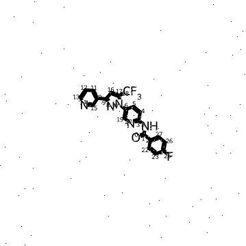 O=C(Nc1ccc(-n2nc(-c3cccnc3)cc2C(F)(F)F)cn1)c1ccc(F)cc1